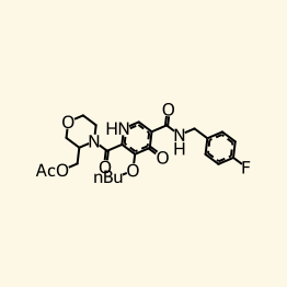 CCCCOc1c(C(=O)N2CCOCC2COC(C)=O)[nH]cc(C(=O)NCc2ccc(F)cc2)c1=O